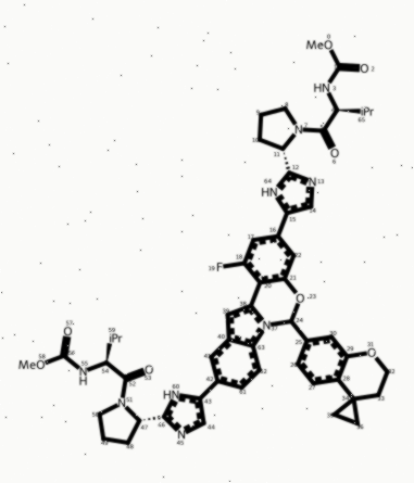 COC(=O)N[C@H](C(=O)N1CCC[C@H]1c1ncc(-c2cc(F)c3c(c2)OC(c2ccc4c(c2)OCCC42CC2)n2c-3cc3cc(-c4cnc([C@@H]5CCCN5C(=O)[C@@H](NC(=O)OC)C(C)C)[nH]4)ccc32)[nH]1)C(C)C